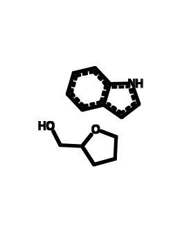 OCC1CCCO1.c1ccc2[nH]ccc2c1